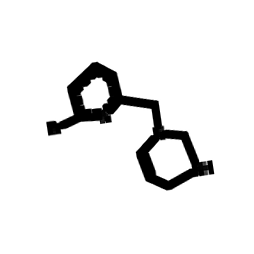 Brc1cccc(CN2C=CCNC2)n1